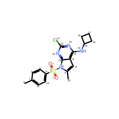 Cc1ccc(S(=O)(=O)n2c(C)cc3c(NC4CCC4)nc(Cl)nc32)cc1